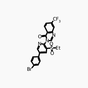 CCS(=O)(=O)c1cc(-c2ccc(Br)cc2)cnc1-n1cnc2cc(C(F)(F)F)ccc2c1=O